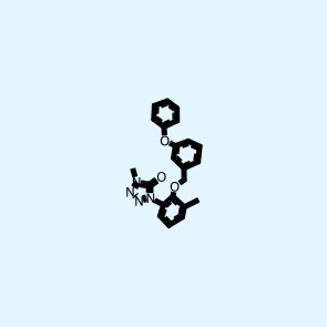 Cc1cccc(-n2nnn(C)c2=O)c1OCc1cccc(Oc2ccccc2)c1